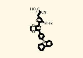 CCCCCCc1cc(/C=C(\C#N)C(=O)O)sc1-c1sc(-c2ccc(-n3c4ccccc4c4ccccc43)cc2)c2c1OCCO2